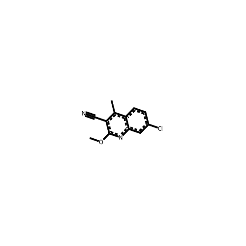 COc1nc2cc(Cl)ccc2c(C)c1C#N